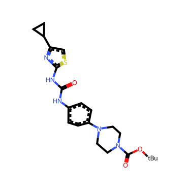 CC(C)(C)OC(=O)N1CCN(c2ccc(NC(=O)Nc3nc(C4CC4)cs3)cc2)CC1